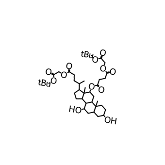 CC(CCC(=O)OCC(=O)OC(C)(C)C)C1CCC2C3C(O)CC4CC(O)CCC4(C)C3CC(OC(=O)CCC(=O)OCC(=O)OC(C)(C)C)C12C